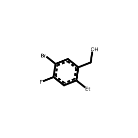 CCc1cc(F)c(Br)cc1CO